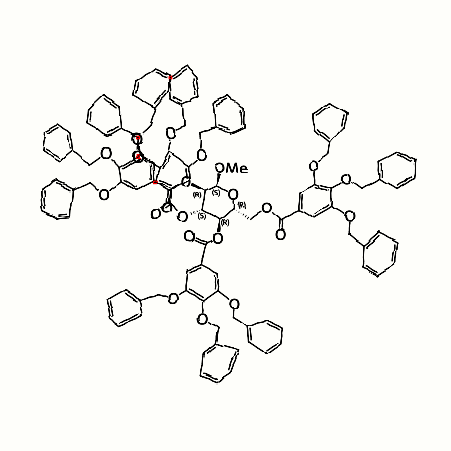 CO[C@H]1O[C@H](COC(=O)c2cc(OCc3ccccc3)c(OCc3ccccc3)c(OCc3ccccc3)c2)[C@@H](OC(=O)c2cc(OCc3ccccc3)c(OCc3ccccc3)c(OCc3ccccc3)c2)[C@H](OC(=O)c2cc(OCc3ccccc3)c(OCc3ccccc3)c(OCc3ccccc3)c2)[C@H]1OC(=O)c1cc(OCc2ccccc2)c(OCc2ccccc2)c(OCc2ccccc2)c1